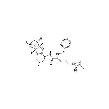 CNC(=N)NCCC[C@H](NCc1ccccc1)C(=O)N[C@@H](CC(C)C)B1O[C@@H]2C[C@@H]3C[C@@H](C3(C)C)[C@]2(C)O1